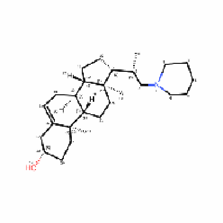 C[C@H](CN1CCCCC1)[C@H]1CC[C@H]2[C@@H]3CC=C4C[C@@H](O)CC[C@]4(C)[C@H]3CC[C@]12C